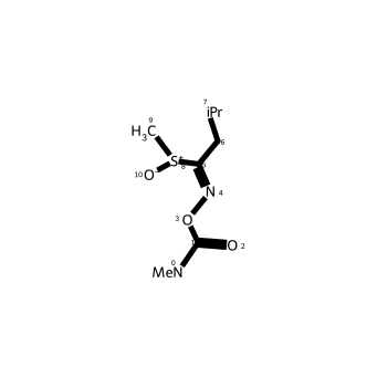 CNC(=O)ON=C(CC(C)C)[S+](C)[O-]